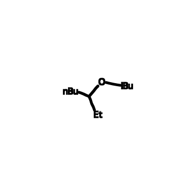 CCCCC(CC)OC(C)CC